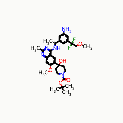 COCC(F)(F)c1cc(N)cc([C@@H](C)Nc2nc(C)nc3cc(OC)c(C4(O)CCN(C(=O)OC(C)(C)C)CC4)cc23)c1